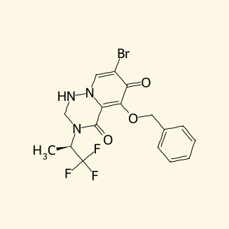 C[C@@H](N1CNn2cc(Br)c(=O)c(OCc3ccccc3)c2C1=O)C(F)(F)F